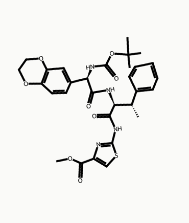 COC(=O)c1csc(NC(=O)[C@@H](NC(=O)[C@H](NC(=O)OC(C)(C)C)c2ccc3c(c2)OCCO3)[C@@H](C)c2ccccc2)n1